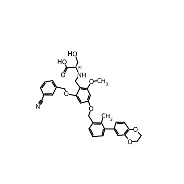 COc1cc(OCc2cccc(-c3ccc4c(c3)OCCO4)c2C)cc(OCc2cccc(C#N)c2)c1CN[C@H](CO)C(=O)O